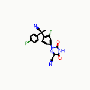 CC(C#N)(c1ccc(F)cc1)c1ccc(-n2nc(C#N)c(=O)[nH]c2=O)cc1F